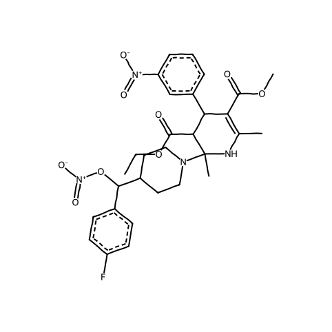 CCOC(=O)C1C(c2cccc([N+](=O)[O-])c2)C(C(=O)OC)=C(C)NC1(C)N1CCC(C(O[N+](=O)[O-])c2ccc(F)cc2)CC1